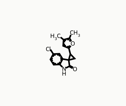 Cc1cc(C2CC23C(=O)Nc2ccc(Cl)cc23)oc1C